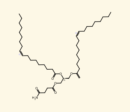 C=C(CCCCCCC/C=C\CCCCCCCC)OC[C@@H](COC(=O)CCC(N)=O)OC(=O)CCCCCCC/C=C\CCCCCCCC